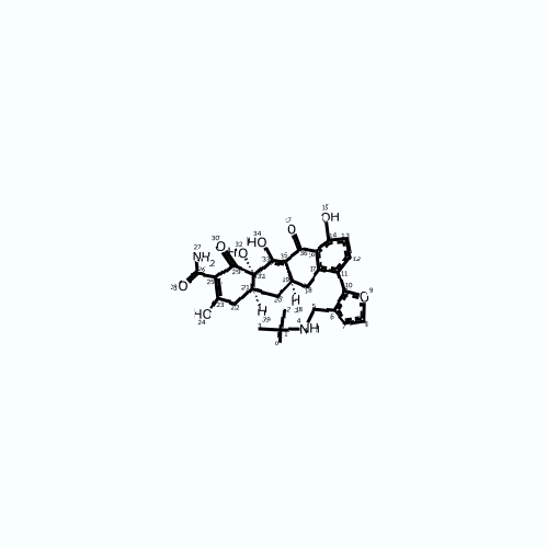 CC(C)(C)NCc1ccoc1-c1ccc(O)c2c1C[C@H]1C[C@H]3CC(O)=C(C(N)=O)C(=O)[C@@]3(O)C(O)=C1C2=O